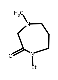 CCN1CCCN(C)CC1=O